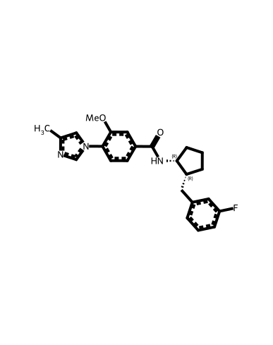 COc1cc(C(=O)N[C@@H]2CCC[C@@H]2Cc2cccc(F)c2)ccc1-n1cnc(C)c1